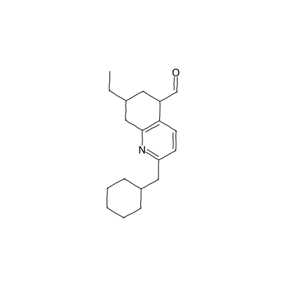 CCC1Cc2nc(CC3CCCCC3)ccc2C(C=O)C1